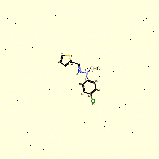 O=CN(/N=C/c1cccs1)c1ccc(Cl)cc1